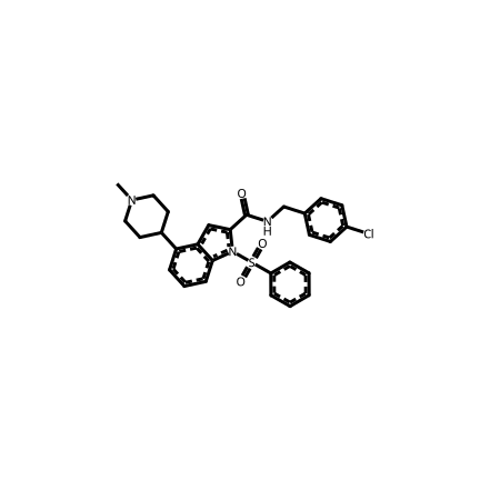 CN1CCC(c2cccc3c2cc(C(=O)NCc2ccc(Cl)cc2)n3S(=O)(=O)c2ccccc2)CC1